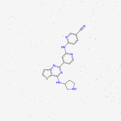 N#Cc1ccc(Nc2cc(-c3nc(NC4CCNC4)c4sccc4n3)ccn2)nc1